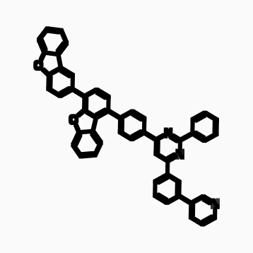 c1ccc(-c2nc(-c3ccc(-c4ccc(-c5ccc6oc7ccccc7c6c5)c5oc6ccccc6c45)cc3)cc(-c3cccc(-c4cccnc4)c3)n2)cc1